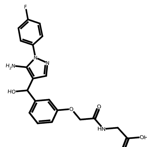 Nc1c(C(O)c2cccc(OCC(=O)NCC(=O)O)c2)cnn1-c1ccc(F)cc1